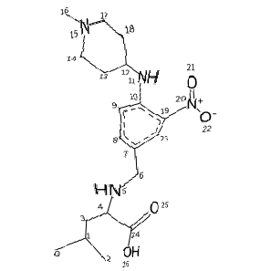 CC(C)CC(NCc1ccc(NC2CCN(C)CC2)c([N+](=O)[O-])c1)C(=O)O